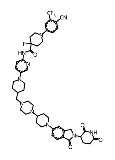 N#Cc1ccc(N2CCC(F)(C(=O)Nc3ccc(N4CCC(CN5CCN(C6CCN(c7ccc8c(c7)CN(C7CCC(=O)NC7=O)C8=O)CC6)CC5)CC4)cn3)CC2)cc1C(F)(F)F